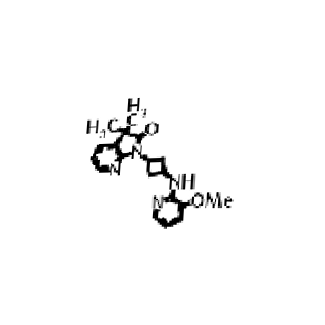 COc1cccnc1NC1CC(N2C(=O)C(C)(C)c3cccnc32)C1